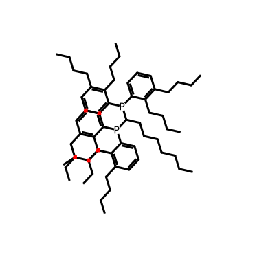 CCCCCCCC(P(c1cccc(CCCC)c1CCCC)c1cccc(CCCC)c1CCCC)P(c1cccc(CCCC)c1CCCC)c1cccc(CCCC)c1CCCC